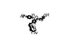 CC(C)(O)C(F)CNC(=O)c1cnc(-c2ccc3cc(C#N)cnn23)cc1Nc1ccc(-n2cnnc2)cc1